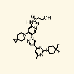 Cc1cc(-c2cnn(-c3cnc(NS(=O)(=O)CCO)cc3N3CCC4(CC3)CC4)c2)nc(N2CCC(F)(F)CC2)n1